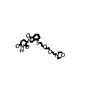 O=C1CCC(N2Cc3c(SCCOCCOCCN4CCOCC4)cccc3C2=O)C(=O)N1